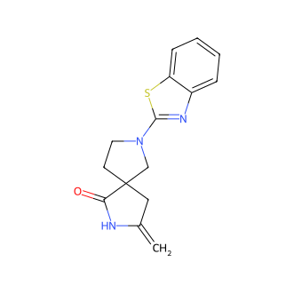 C=C1CC2(CCN(c3nc4ccccc4s3)C2)C(=O)N1